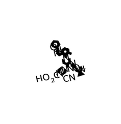 Cc1ccc2c(cnn2C2CCCCO2)c1N1CCc2c(nc(OCC3(N(C)C)CC3)nc2N2CCN(C(=O)O)[C@@H](CC#N)C2)C1